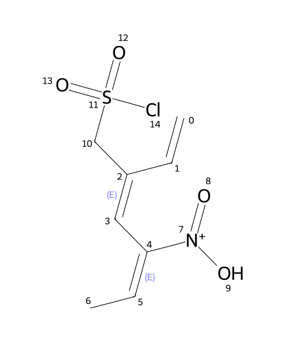 C=C/C(=C\C(=C/C)[N+](=O)O)CS(=O)(=O)Cl